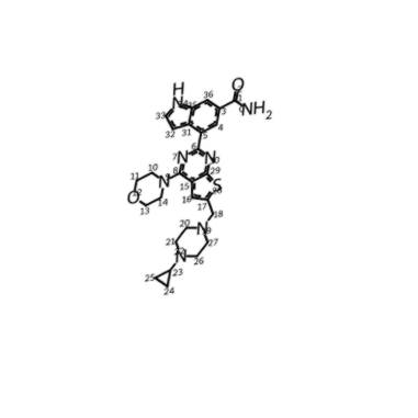 NC(=O)c1cc(-c2nc(N3CCOCC3)c3cc(CN4CCN(C5CC5)CC4)sc3n2)c2cc[nH]c2c1